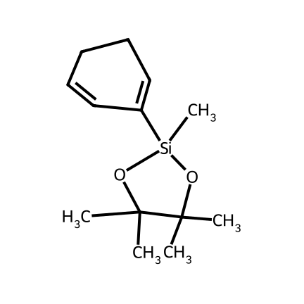 CC1(C)O[Si](C)(C2=CCCC=C2)OC1(C)C